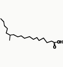 CCCCCC(C)CCCCCCCCCCCC(=O)O